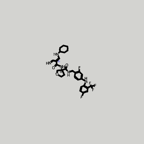 N=C/C(=C\NC1CCCCC1)C(=O)N[C@@]1(C(=O)NCc2ccc(Nc3ccc(F)cc3C(F)(F)F)cc2F)CCOC1